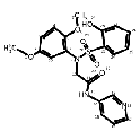 COc1ccc(OC)c(N(CC(=O)Nc2cccnc2)S(=O)(=O)c2ccccc2O)c1